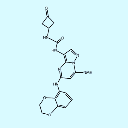 CNc1cc(Nc2cccc3c2OCCO3)nc2c(NC(=O)NC3CC(=O)C3)cnn12